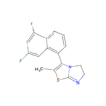 CC1=C(c2cccc3c(F)cc(F)cc23)N2CCN=C2S1